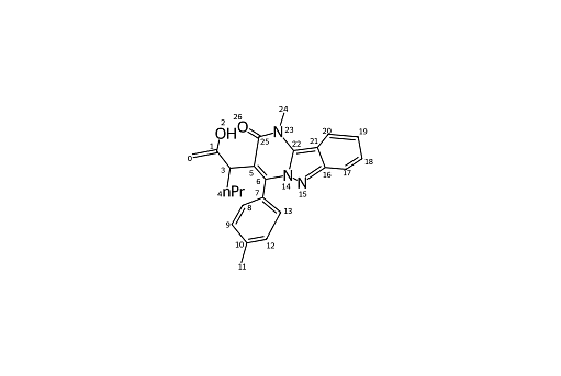 C=C(O)C(CCC)c1c(-c2ccc(C)cc2)n2nc3ccccc3c2n(C)c1=O